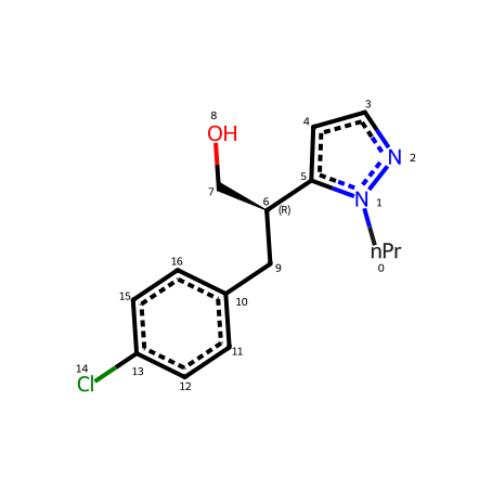 CCCn1nccc1[C@H](CO)Cc1ccc(Cl)cc1